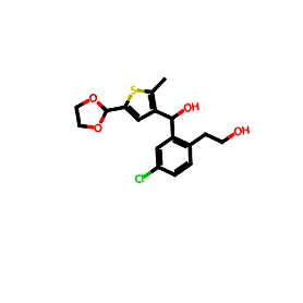 Cc1sc(C2OCCO2)cc1C(O)c1cc(Cl)ccc1CCO